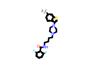 O=C(NCCCCN1CCN(c2csc3cc(C(F)(F)F)ccc23)CC1)c1c(F)cccc1F